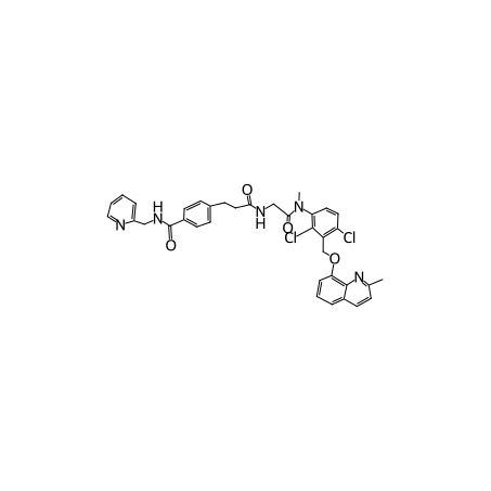 Cc1ccc2cccc(OCc3c(Cl)ccc(N(C)C(=O)CNC(=O)CCc4ccc(C(=O)NCc5ccccn5)cc4)c3Cl)c2n1